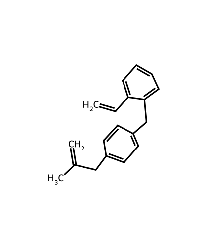 C=Cc1ccccc1Cc1ccc(CC(=C)C)cc1